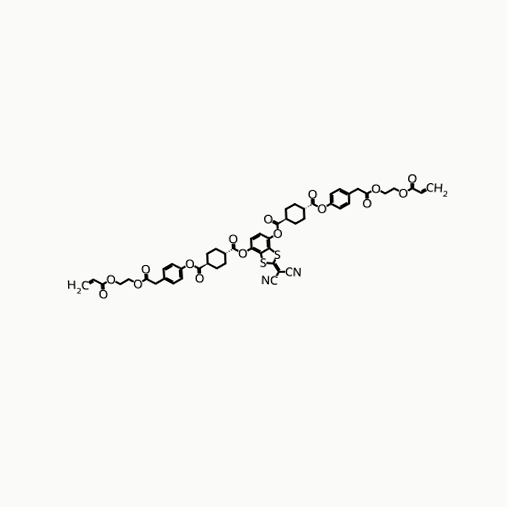 C=CC(=O)OCCOC(=O)Cc1ccc(OC(=O)[C@H]2CC[C@H](C(=O)Oc3ccc(OC(=O)[C@H]4CC[C@H](C(=O)Oc5ccc(CC(=O)OCCOC(=O)C=C)cc5)CC4)c4c3SC(=C(C#N)C#N)S4)CC2)cc1